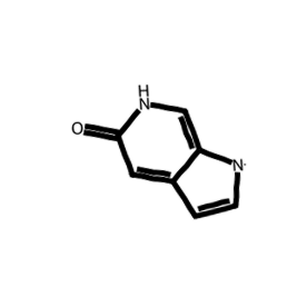 O=c1cc2c(c[nH]1)[N]C=C2